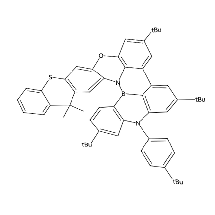 CC(C)(C)c1ccc(N2c3cc(C(C)(C)C)ccc3B3c4c(cc(C(C)(C)C)cc42)-c2cc(C(C)(C)C)cc4c2N3c2cc3c(cc2O4)Sc2ccccc2C3(C)C)cc1